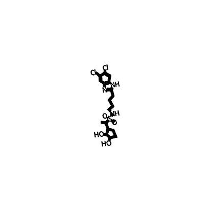 CC(C1CCC(O)C1O)S(=O)(=O)NCCCCc1nc2cc(Cl)c(Cl)cc2[nH]1